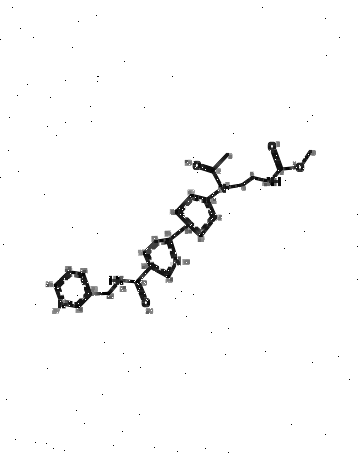 COC(=O)NCCN(C(C)=O)c1ccc(-c2ccc(C(=O)NCc3cccnc3)cn2)cc1